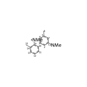 CNc1cccc(C)c1.CNc1ccccc1C